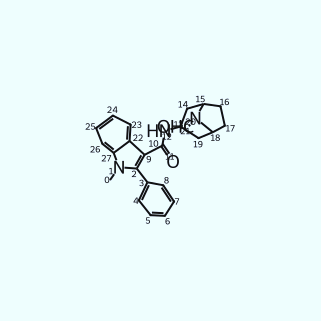 Cn1c(-c2ccccc2)c(C(=O)NC2CC3CCC(C2)N3C=O)c2ccccc21